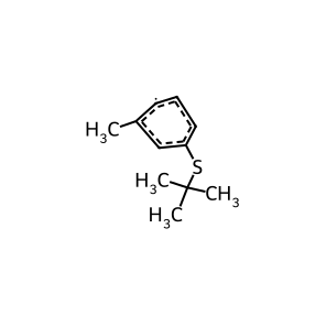 Cc1[c]ccc(SC(C)(C)C)c1